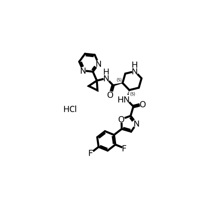 Cl.O=C(N[C@H]1CCNC[C@@H]1C(=O)NC1(c2ncccn2)CC1)c1ncc(-c2ccc(F)cc2F)o1